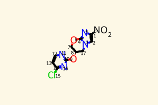 O=[N+]([O-])c1cn2c(n1)OC[C@@H](Oc1nccc(Cl)n1)C2